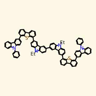 CCn1c2ccc(-c3ccc4c(c3)c3cc(-c5cccc6c5sc5c(-c7ccc8c(c7)c7ccccc7n8-c7ccccc7)cccc56)ccc3n4CC)cc2c2cc(-c3cccc4c3sc3c(-c5ccc6c(c5)c5ccccc5n6-c5ccccc5)cccc34)ccc21